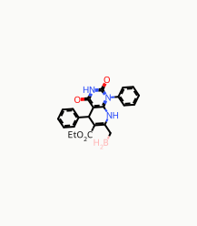 BCC1=C(C(=O)OCC)C(c2ccccc2)c2c(n(-c3ccccc3)c(=O)[nH]c2=O)N1